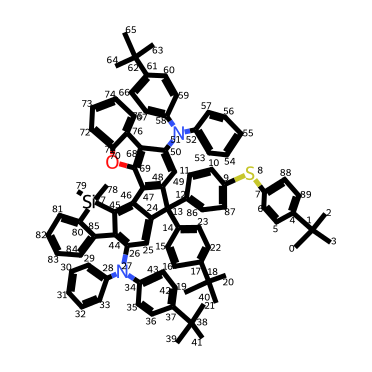 CC(C)(C)c1ccc(Sc2ccc(C3(c4ccc(C(C)(C)C)cc4)c4cc(N(c5ccccc5)c5ccc(C(C)(C)C)cc5)c5c(c4-c4c3cc(N(c3ccccc3)c3ccc(C(C)(C)C)cc3)c3c4oc4ccccc43)[Si](C)(C)c3ccccc3-5)cc2)cc1